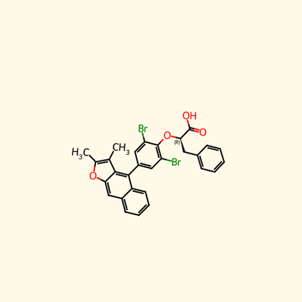 Cc1oc2cc3ccccc3c(-c3cc(Br)c(O[C@H](Cc4ccccc4)C(=O)O)c(Br)c3)c2c1C